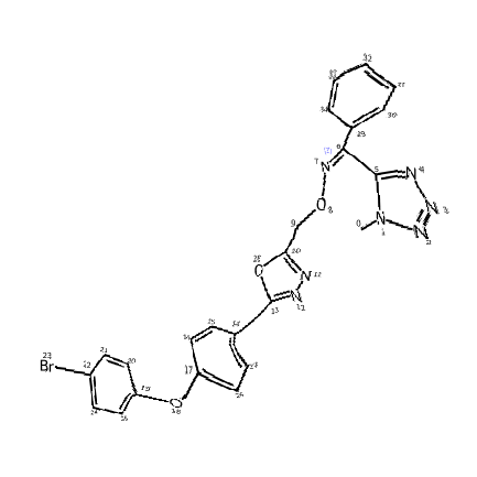 Cn1nnnc1/C(=N\OCc1nnc(-c2ccc(Oc3ccc(Br)cc3)cc2)o1)c1ccccc1